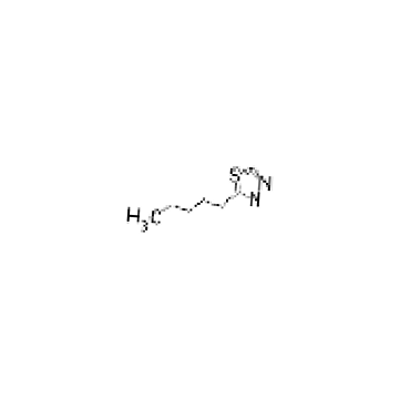 CCCCCc1nncs1